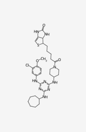 COc1ccc(Nc2nc(NC3CCCCCC3)nc(NC3CCN(C(=O)CCCCC4SC=C5NC(=O)NC54)CC3)n2)cc1Cl